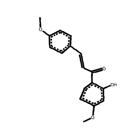 COc1ccc(C=CC(=O)c2ccc(OC)cc2O)cc1